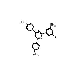 Bc1cc(Br)cc(-c2nc(-c3ccc(C)cc3)nc(-c3ccc(C)cc3)n2)c1